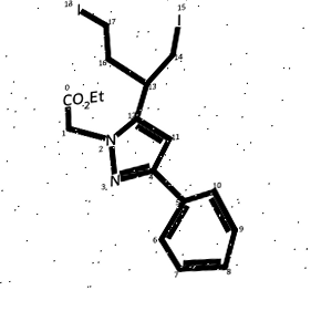 CCOC(=O)Cn1nc(-c2ccccc2)cc1C(CI)CCI